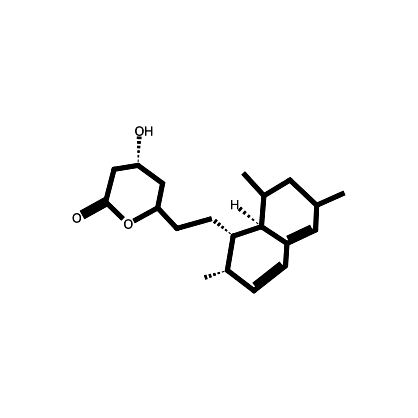 CC1C=C2C=C[C@H](C)[C@H](CCC3C[C@@H](O)CC(=O)O3)[C@H]2C(C)C1